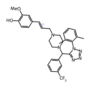 COc1cc(/C=C/CN2CCN(C(c3cccc(C(F)(F)F)c3)c3nnnn3-c3c(C)cccc3C)CC2)ccc1O